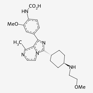 COCCN[C@H]1CC[C@H](c2nc(-c3ccc(NC(=O)O)c(OC)c3)c3c(C)nccn32)CC1